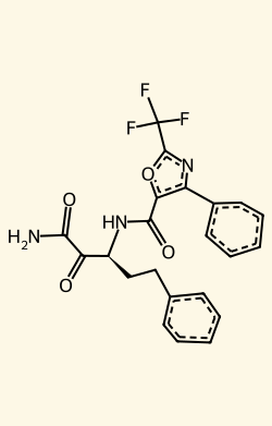 NC(=O)C(=O)[C@H](CCc1ccccc1)NC(=O)c1oc(C(F)(F)F)nc1-c1ccccc1